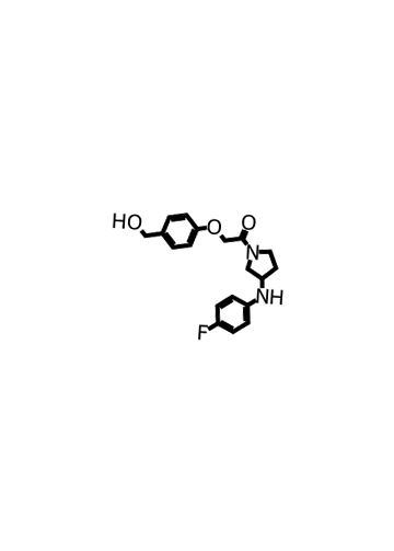 O=C(COc1ccc(CO)cc1)N1CCC(Nc2ccc(F)cc2)C1